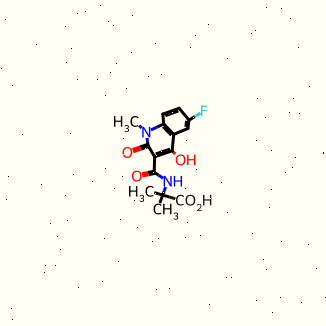 Cn1c(=O)c(C(=O)NC(C)(C)C(=O)O)c(O)c2cc(F)ccc21